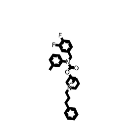 Cc1cccc(N(Cc2ccc(F)c(F)c2)C(=O)OC2C[N+]3(CCCc4ccccc4)CCC2CC3)c1